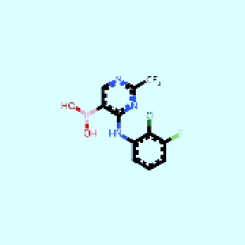 OB(O)c1cnc(C(F)(F)F)nc1Nc1cccc(F)c1Cl